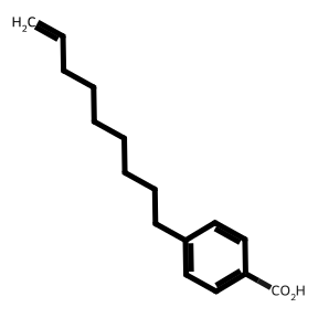 C=CCCCCCCCc1ccc(C(=O)O)cc1